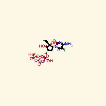 C#CC1(O)C(O)[C@@H](COP(=O)(O)OP(=O)(O)OP(=O)(O)O)C[C@H]1n1cc(F)c(N)nc1=O